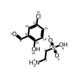 NCCS(=O)(=O)O.O=Cc1cc(Cl)ccc1O